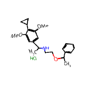 COc1cc(C(C)NCCOC(C)c2ccccc2)cc(OC)c1C1CC1.Cl